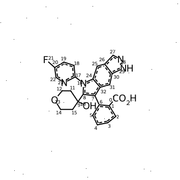 O=C(O)c1ccccc1-c1c(C2(O)CCOCC2)n(-c2ccc(F)cn2)c2cc3cn[nH]c3cc12